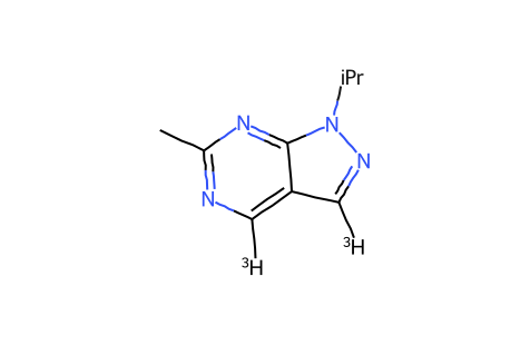 [3H]c1nc(C)nc2c1c([3H])nn2C(C)C